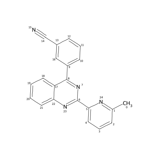 Cc1cccc(-c2nc(-c3cccc(C#N)c3)c3ccccc3n2)n1